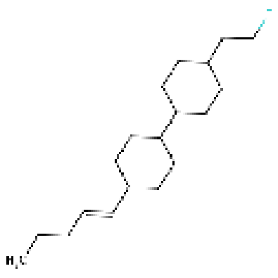 CCC/C=C/C1CCC(C2CCC(CCF)CC2)CC1